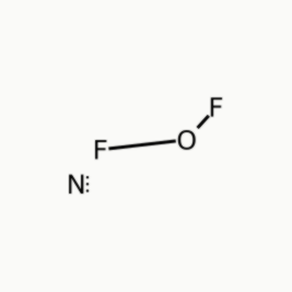 FOF.[N]